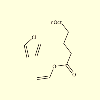 C=C.C=CCl.C=COC(=O)CCCCCCCCCCC